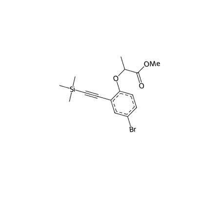 COC(=O)C(C)Oc1ccc(Br)cc1C#C[Si](C)(C)C